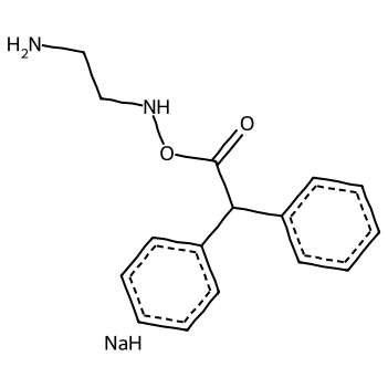 NCCNOC(=O)C(c1ccccc1)c1ccccc1.[NaH]